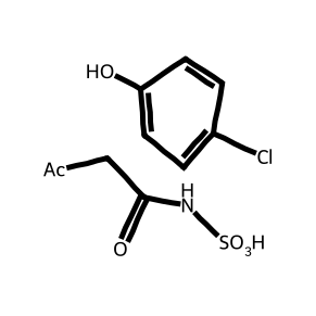 CC(=O)CC(=O)NS(=O)(=O)O.Oc1ccc(Cl)cc1